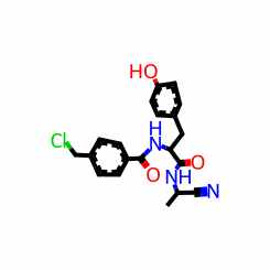 CC(C#N)NC(=O)C(Cc1ccc(O)cc1)NC(=O)c1ccc(CCl)cc1